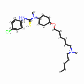 CCCCCN(C)CCCCCCOC1CCC(N(C)C(=S)Nc2ccc(Cl)cc2)CC1